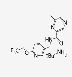 CC(C)(C)N.Cc1cncc(C(=O)NCc2ccc(OCC(F)(F)F)nc2)n1